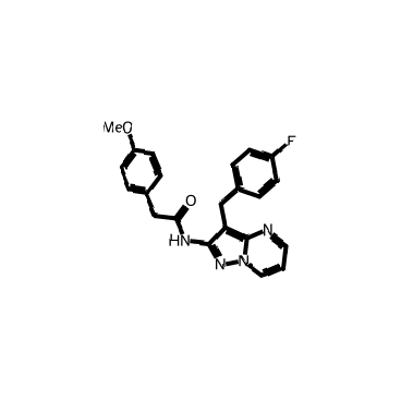 COc1ccc(CC(=O)Nc2nn3cccnc3c2Cc2ccc(F)cc2)cc1